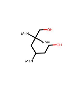 CNC(CCO)CC(CO)(NC)NC